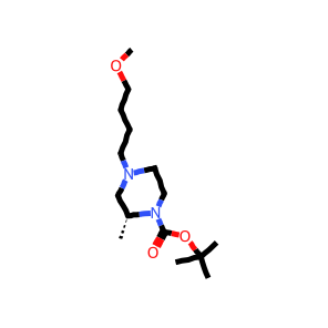 COCCCCN1CCN(C(=O)OC(C)(C)C)[C@H](C)C1